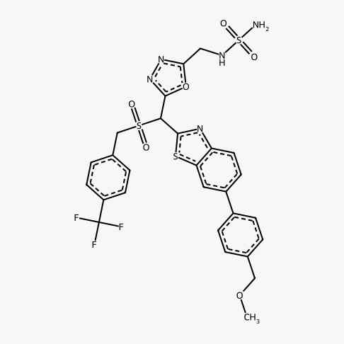 COCc1ccc(-c2ccc3nc(C(c4nnc(CNS(N)(=O)=O)o4)S(=O)(=O)Cc4ccc(C(F)(F)F)cc4)sc3c2)cc1